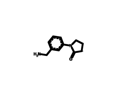 NCc1cccc(N2CC[CH]C2=O)c1